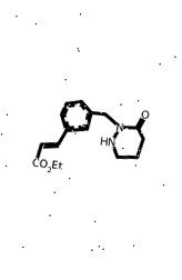 CCOC(=O)C=Cc1cccc(CN2NCCCC2=O)c1